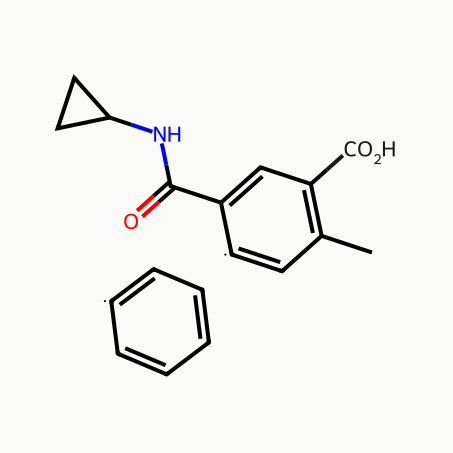 Cc1c[c]c(C(=O)NC2CC2)cc1C(=O)O.[c]1ccccc1